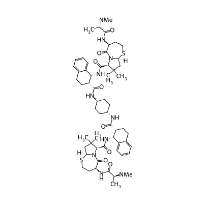 CN[C@@H](C)C(=O)N[C@H]1CCS[C@H]2CC(C)(C)[C@@H](C(=O)N[C@H]3c4ccccc4CC[C@H]3C(=O)N[C@H]3CC[C@H](NC(=O)[C@@H]4CCc5ccccc5[C@@H]4NC(=O)[C@H]4N5C(=O)[C@@H](NC(=O)[C@H](C)NC)CCS[C@H]5CC4(C)C)CC3)N2C1=O